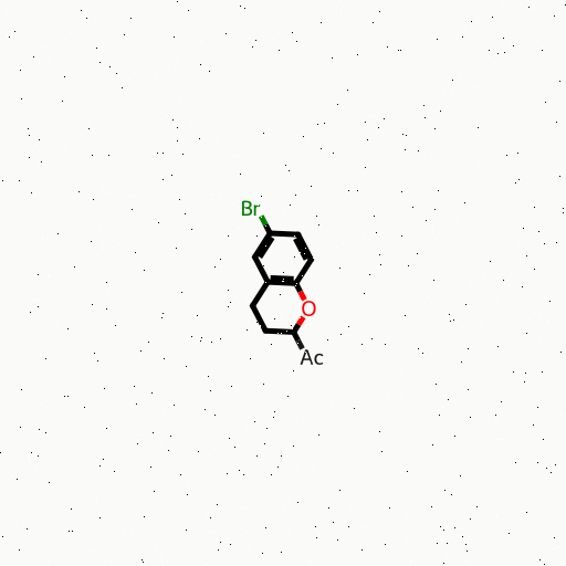 CC(=O)C1CCc2cc(Br)ccc2O1